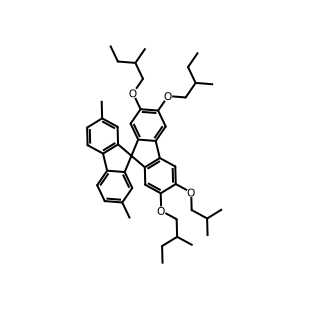 CCC(C)COc1cc2c(cc1OCC(C)C)-c1cc(OCC(C)CC)c(OCC(C)CC)cc1C21c2cc(C)ccc2-c2ccc(C)cc21